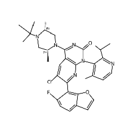 Cc1ccnc(C(C)C)c1-n1c(=O)nc(N2C[C@@H](C)N(C(C)(C)C)C[C@@H]2C)c2cc(Cl)c(-c3c(F)ccc4ccoc34)nc21